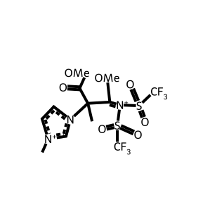 COC(=O)C(C)(C(OC)=[N+](S(=O)(=O)C(F)(F)F)S(=O)(=O)C(F)(F)F)n1cc[n+](C)c1